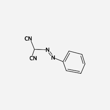 [C-]#[N+]C(C#N)/N=N/c1ccccc1